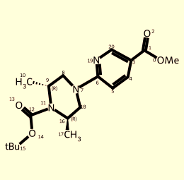 COC(=O)c1ccc(N2C[C@@H](C)N(C(=O)OC(C)(C)C)[C@H](C)C2)nc1